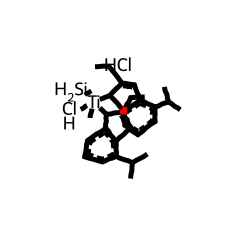 CCC1=Cc2c(C(C)C)cccc2[CH]1[Ti]([CH3])([CH3])(=[SiH2])[CH]1C(CC)=Cc2c(C(C)C)cccc21.Cl.Cl